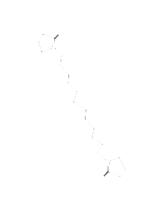 O=C1CCCN1CCCCCCCCCCCCN1CCCC1=O